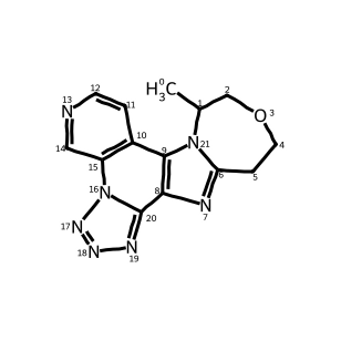 CC1COCCc2nc3c(c4ccncc4n4nnnc34)n21